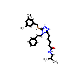 Cc1cc(C)cc(CSc2nnc(CCCCC(=O)NCC(C)C)n2CCc2ccccc2)c1